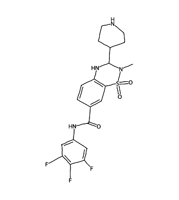 CN1C(C2CCNCC2)Nc2ccc(C(=O)Nc3cc(F)c(F)c(F)c3)cc2S1(=O)=O